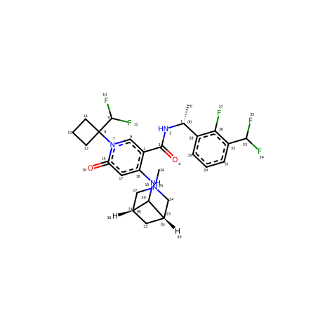 C[C@@H](NC(=O)c1cn(C2(C(F)F)CCC2)c(=O)cc1NC1[C@@H]2C[C@H]1CN(C)C2)c1cccc(C(F)F)c1F